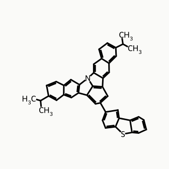 CC(C)c1ccc2cc3c(cc2c1)c1cc(-c2ccc4sc5ccccc5c4c2)cc2c4cc5cc(C(C)C)ccc5cc4n3c12